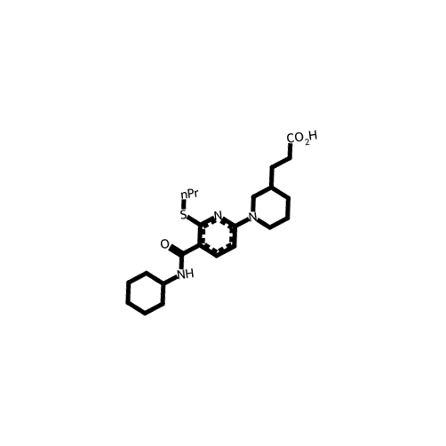 CCCSc1nc(N2CCCC(CCC(=O)O)C2)ccc1C(=O)NC1CCCCC1